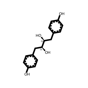 Oc1ccc(C[C@H](O)[C@@H](O)Cc2ccc(O)cc2)cc1